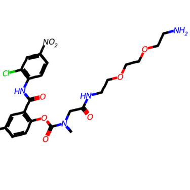 CN(CC(=O)NCCOCCOCCN)C(=O)Oc1ccc(Cl)cc1C(=O)Nc1ccc([N+](=O)[O-])cc1Cl